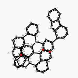 c1cc(-c2cccc3c2oc2ccccc23)cc(N(c2ccccc2-c2ccc3oc4ccccc4c3c2)c2ccccc2-c2cccc3cccc(C4CCCCC4)c23)c1